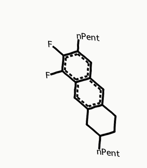 CCCCCc1cc2cc3c(cc2c(F)c1F)CC(CCCCC)CC3